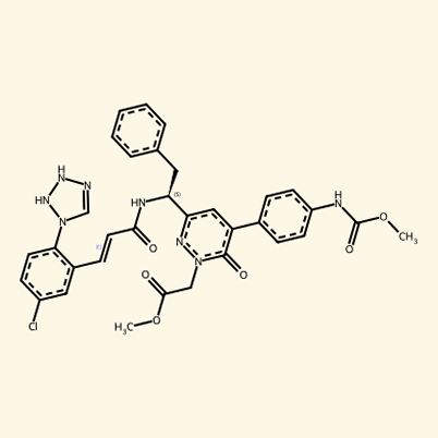 COC(=O)Cn1nc([C@H](Cc2ccccc2)NC(=O)/C=C/c2cc(Cl)ccc2N2C=NNN2)cc(-c2ccc(NC(=O)OC)cc2)c1=O